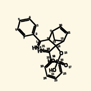 N=C(c1ccccc1)C1C2C=CC(C2)C1(OP(=O)(O)O)C(=N)c1ccccc1